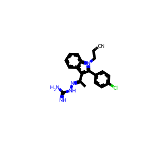 CC(=NNC(=N)N)c1c(-c2ccc(Cl)cc2)n(CCC#N)c2ccccc12